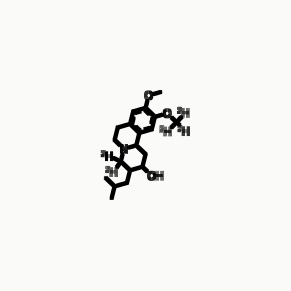 [2H]C([2H])([2H])Oc1cc2c(cc1OC)CCN1C2CC(O)C(CC(C)C)C1([2H])[2H]